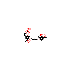 CC(=O)c1cc2c(cc1OCCCCCOc1ccc(C(C)=O)c(O)c1C(C)C)OC(OC(=O)O)CC2